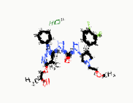 COCCN1C[C@@H](NC(=O)Nc2c(C)c(OC[C@H](C)O)nn2-c2ccccc2)[C@H](c2ccc(F)c(F)c2)C1.Cl